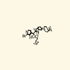 CN(C)C1CCN(c2ccc3nc(C(O)c4ccnc(Br)c4)n(COCC[Si](C)(C)C)c3c2)CC1